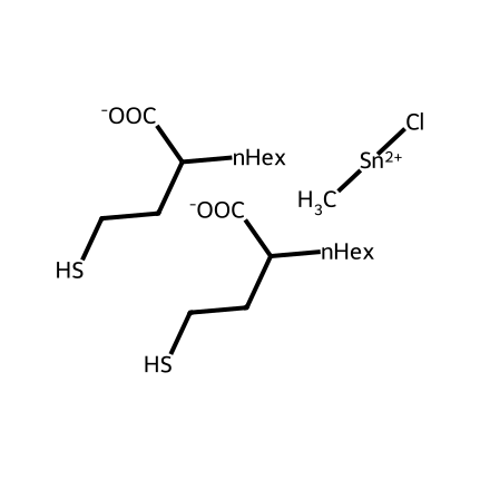 CCCCCCC(CCS)C(=O)[O-].CCCCCCC(CCS)C(=O)[O-].[CH3][Sn+2][Cl]